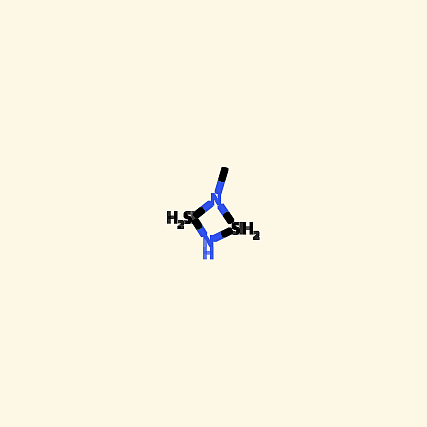 CN1[SiH2]N[SiH2]1